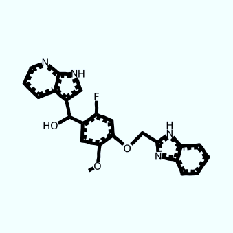 COc1cc(C(O)c2c[nH]c3ncccc23)c(F)cc1OCc1nc2ccccc2[nH]1